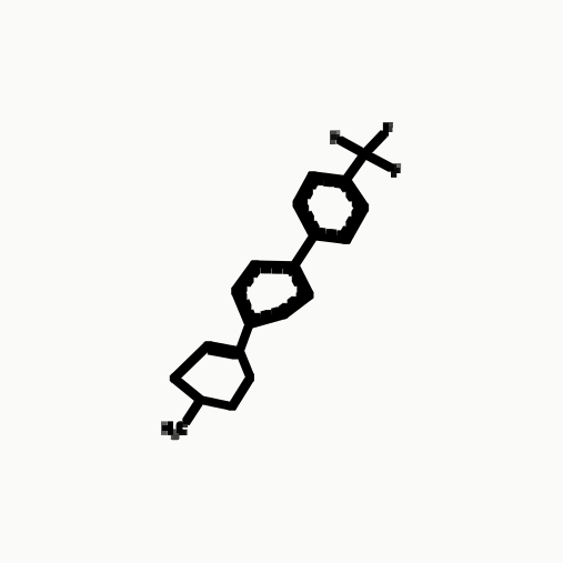 CC1CC=C(c2ccc(-c3ccc(C(F)(F)F)cc3)cc2)CC1